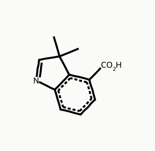 CC1(C)C=Nc2cccc(C(=O)O)c21